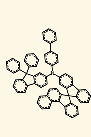 c1ccc(-c2ccc(N(c3ccc4c(c3)C(c3ccccc3)(c3ccccc3)c3ccccc3-4)c3ccc4c(c3)C3(c5ccccc5-4)c4ccccc4-c4c3ccc3ccccc43)cc2)cc1